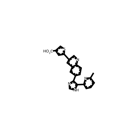 Cc1cccc(-c2[nH]cnc2-c2ccc3ncc(-c4cc(C(=O)O)cs4)cc3c2)n1